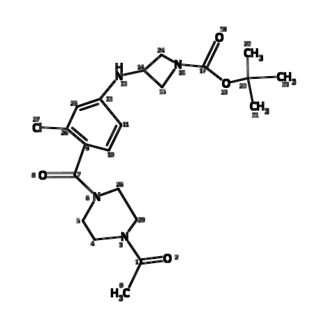 CC(=O)N1CCN(C(=O)c2ccc(NC3CN(C(=O)OC(C)(C)C)C3)cc2Cl)CC1